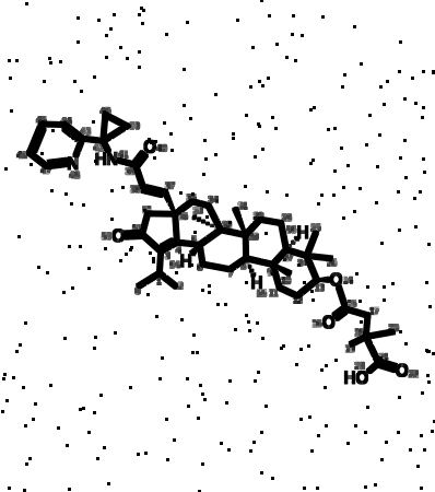 CC(C)C1=C2[C@H]3CC[C@@H]4[C@@]5(C)CC[C@H](OC(=O)CC(C)(C)C(=O)O)C(C)(C)[C@@H]5CC[C@@]4(C)[C@]3(C)CC[C@@]2(/C=C/C(=O)NC2(c3ccccn3)CC2)CC1=O